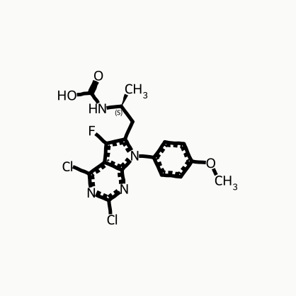 COc1ccc(-n2c(C[C@H](C)NC(=O)O)c(F)c3c(Cl)nc(Cl)nc32)cc1